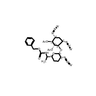 CC(=O)O[C@@H]1[C@@H](OC(C)=O)[C@H](N=[N+]=[N-])C[C@H](N=[N+]=[N-])[C@H]1O[C@H]1O[C@H](C(C)NC(=O)OCc2ccccc2)CC[C@H]1N=[N+]=[N-]